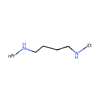 CCCNCCCCNCC